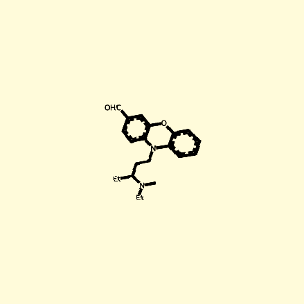 CCC(CCN1c2ccccc2Oc2cc(C=O)ccc21)N(C)CC